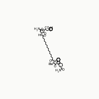 CC[C@H](C)[C@H](NC(=O)CCCCCCCCCCCCCCC(=O)NC(CC(N)=O)C(=O)NC(Cc1ccccc1)C(=O)O)C(=O)n1c2c(c3ccccc31)CCN(C(N)=O)C2